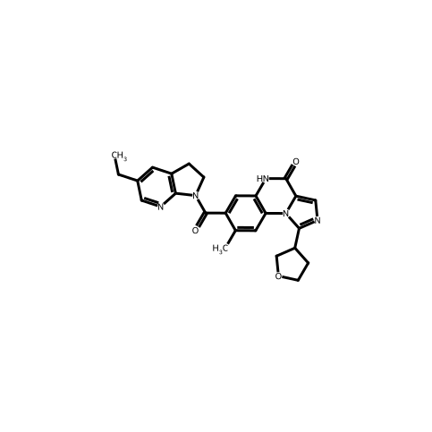 CCc1cnc2c(c1)CCN2C(=O)c1cc2[nH]c(=O)c3cnc(C4CCOC4)n3c2cc1C